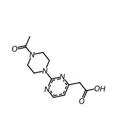 CC(=O)N1CCN(c2nccc(CC(=O)O)n2)CC1